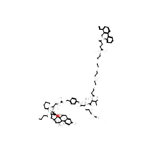 C=Cc1ccccc1CN(C(=O)CCC(=O)NCCOCCOCCOCCOCCC(=O)N[C@H](C(=O)N[C@@H](CCCNC(N)=O)C(=O)Nc1ccc(COC(=O)NCC(=O)N2CCCCC2OCC(=O)[C@@]23OC(CCC)O[C@@H]2C[C@H]2[C@@H]4CCC5=CC(=O)C=C[C@]5(C)[C@H]4[C@@H](O)C[C@@]23C)cc1)C(C)C)c1ccccc1CC